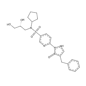 O=c1c(Cc2ccccc2)c[nH]n1-c1ccc(S(=O)(=O)N(C[C@@H](O)CO)C2CCCC2)cn1